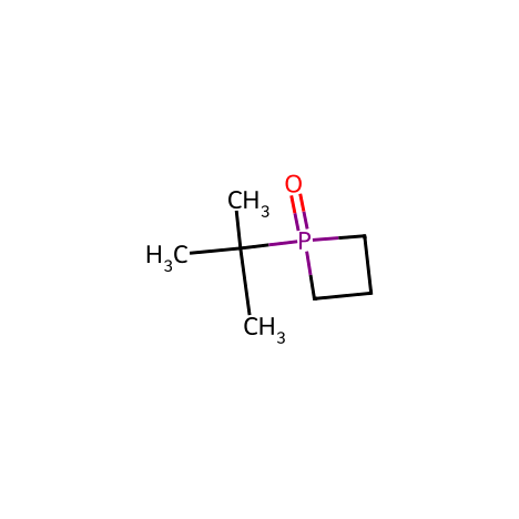 CC(C)(C)P1(=O)CCC1